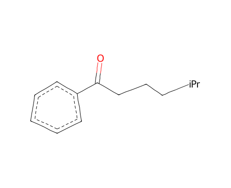 CC(C)CCCC(=O)c1ccccc1